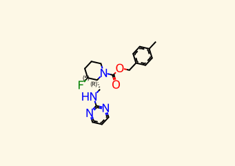 Cc1ccc(COC(=O)N2CCC[C@H](F)[C@H]2CNc2ncccn2)cc1